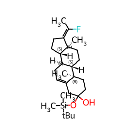 CC(F)=C1CC[C@H]2[C@@H]3CC=C4CC(O)(O[Si](C)(C)C(C)(C)C)CC[C@]4(C)[C@H]3CC[C@]12C